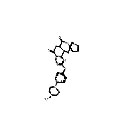 CN1CCN(c2ccc(Sc3ncc4c(n3)N3CC5(CCCC5)NC(=O)C3CC4=O)cc2)CC1